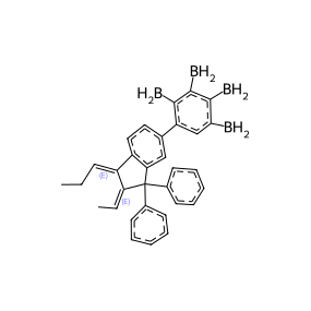 Bc1cc(-c2ccc3c(c2)C(c2ccccc2)(c2ccccc2)C(=C/C)/C3=C\CC)c(B)c(B)c1B